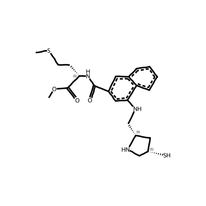 COC(=O)[C@H](CCSC)NC(=O)c1cc(NC[C@@H]2C[C@H](S)CN2)c2ccccc2c1